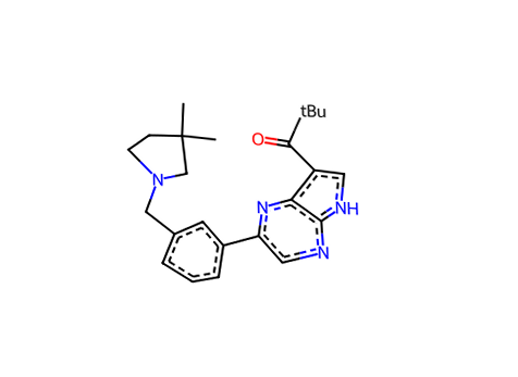 CC1(C)CCN(Cc2cccc(-c3cnc4[nH]cc(C(=O)C(C)(C)C)c4n3)c2)C1